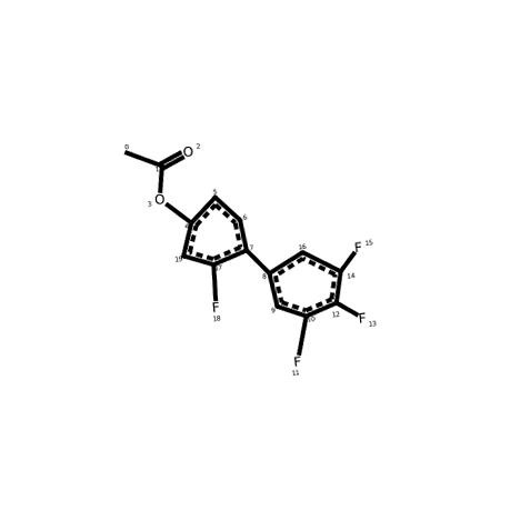 CC(=O)Oc1ccc(-c2cc(F)c(F)c(F)c2)c(F)c1